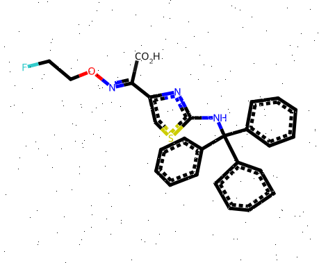 O=C(O)/C(=N\OCCF)c1csc(NC(c2ccccc2)(c2ccccc2)c2ccccc2)n1